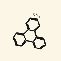 C.c1ccc2c(c1)c1ccccc1c1ccccc21